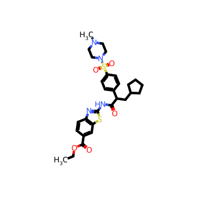 CCOC(=O)c1ccc2nc(NC(=O)C(CC3CCCC3)c3ccc(S(=O)(=O)N4CCN(C)CC4)cc3)sc2c1